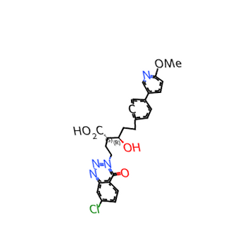 COc1ccc(-c2ccc(CC[C@@H](O)[C@H](CCn3nnc4cc(Cl)ccc4c3=O)C(=O)O)cc2)cn1